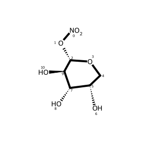 O=[N+]([O-])O[C@@H]1OC[C@H](O)[C@H](O)[C@H]1O